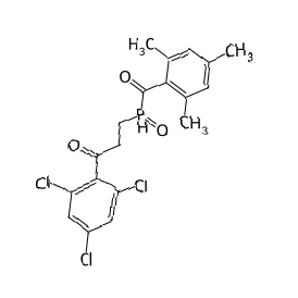 Cc1cc(C)c(C(=O)[PH](=O)CCC(=O)c2c(Cl)cc(Cl)cc2Cl)c(C)c1